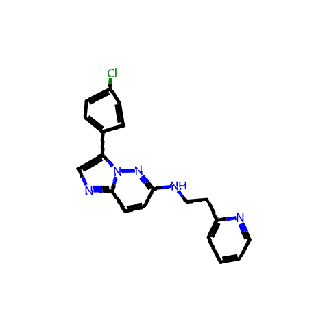 Clc1ccc(-c2cnc3ccc(NCCc4ccccn4)nn23)cc1